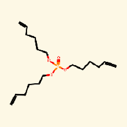 C=CCCCCOP(=O)(OCCCCC=C)OCCCCC=C